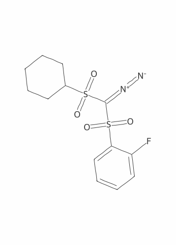 [N-]=[N+]=C(S(=O)(=O)c1ccccc1F)S(=O)(=O)C1CCCCC1